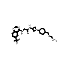 CCOCC1CCC(N2CC(NC(=O)CNc3ncnc4ccc(C(F)(F)F)cc34)C2)CC1